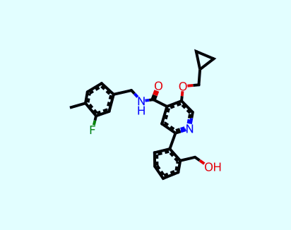 Cc1ccc(CNC(=O)c2cc(-c3ccccc3CO)ncc2OCC2CC2)cc1F